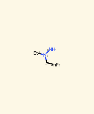 CCCCN([NH])CC